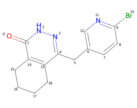 O=c1[nH]nc(Cc2ccc(Br)nc2)c2c1CCCC2